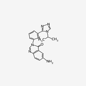 CC(C)n1cnnc1-c1cccc(-n2cnc3ccc(N)cc3c2=O)n1